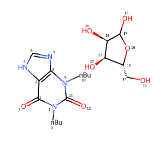 CCCCn1c(=O)c2[nH]cnc2n(CCCC)c1=O.OC[C@H]1OC(O)[C@H](O)[C@@H]1O